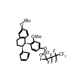 COc1cc(OS(=O)(=O)C(F)(F)C(F)(F)C(F)(F)C(F)(F)F)ccc1[C@@H]1c2ccc(OC(C)(C)C)cc2CC[C@@H]1c1ccccc1